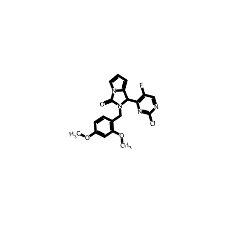 COc1ccc(CN2C(=O)n3cccc3C2c2nc(Cl)ncc2F)c(OC)c1